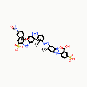 Cc1cc(/N=N\c2cc(C)c(/N=N\c3c(S(=O)(=O)O)cc4cc(NC=O)ccc4c3O)cc2C)ccc1N=Nc1cc2nn(-c3ccc(S(=O)(=O)O)cc3C(=O)O)nc2cc1C